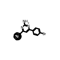 Nc1nc(-c2ccc(Br)cc2)cc([C]23[CH]4[CH]5[CH]6[CH]2[Fe]56432789[CH]3[CH]2[CH]7[CH]8[CH]39)n1